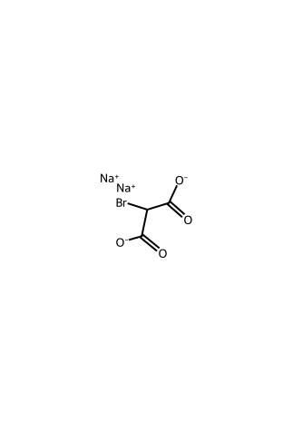 O=C([O-])C(Br)C(=O)[O-].[Na+].[Na+]